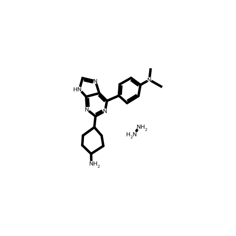 CN(C)c1ccc(-c2nc(C3CCC(N)CC3)nc3[nH]cnc23)cc1.NN